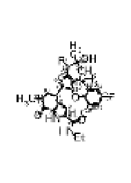 CCNC(=O)c1cc2c(-c3sc(C(F)C(C)(C)O)c(C)c3Oc3c(C)cc(F)cc3C)cn(C)c(=O)c2[nH]1